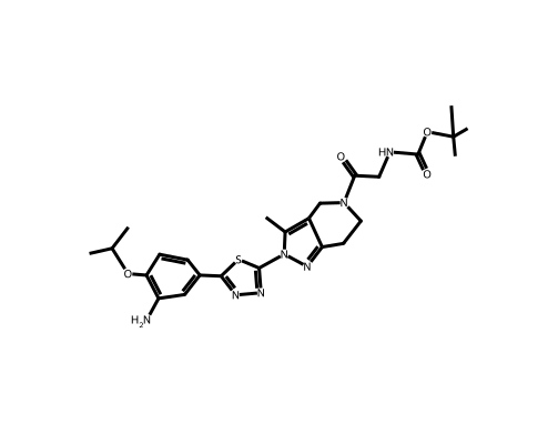 Cc1c2c(nn1-c1nnc(-c3ccc(OC(C)C)c(N)c3)s1)CCN(C(=O)CNC(=O)OC(C)(C)C)C2